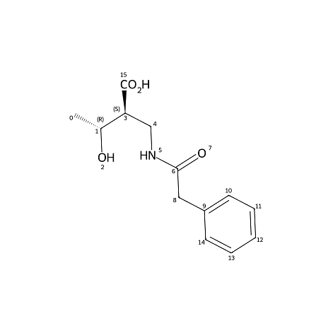 C[C@@H](O)[C@H](CNC(=O)Cc1ccccc1)C(=O)O